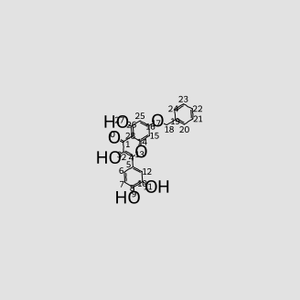 O=c1c(O)c(-c2ccc(O)c(O)c2)oc2cc(OCc3ccccc3)cc(O)c12